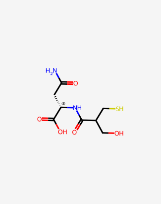 NC(=O)C[C@H](NC(=O)C(CO)CS)C(=O)O